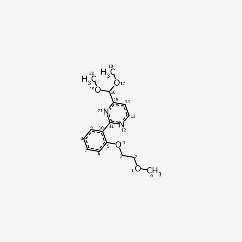 COCCOc1ccccc1-c1nccc(C(OC)OC)n1